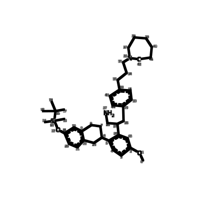 COc1ccc(C2CCc3cc(O[Si](C)(C)C(C)(C)C)ccc3C2)c(C(CN)Cc2ccc(CCCN3CCCCCC3)cc2)c1